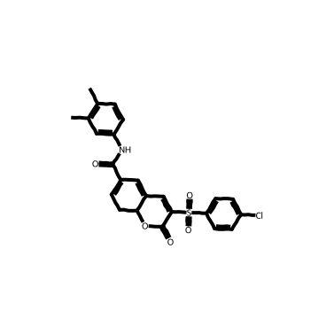 Cc1ccc(NC(=O)C2=CCC3OC(=O)C(S(=O)(=O)c4ccc(Cl)cc4)=CC3=C2)cc1C